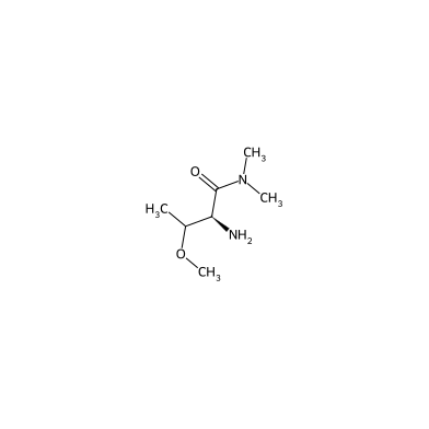 COC(C)[C@H](N)C(=O)N(C)C